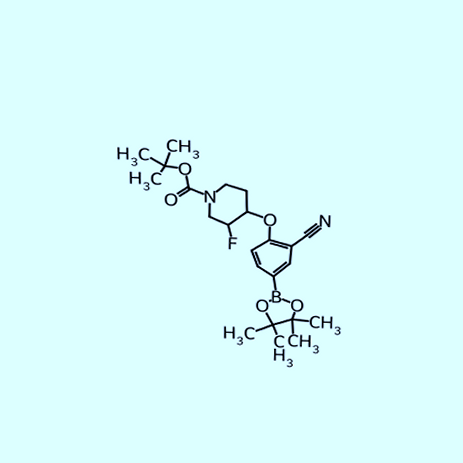 CC(C)(C)OC(=O)N1CCC(Oc2ccc(B3OC(C)(C)C(C)(C)O3)cc2C#N)C(F)C1